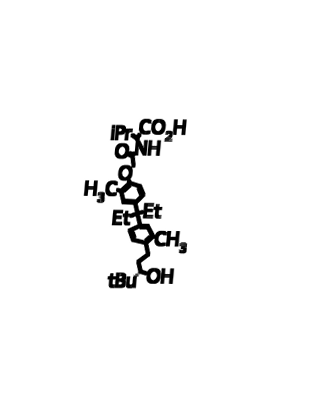 CCC(CC)(c1ccc(CC[C@H](O)C(C)(C)C)c(C)c1)c1ccc(OCC(=O)NC(C(=O)O)C(C)C)c(C)c1